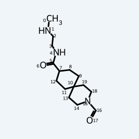 CNCCNC(=O)C1CCC2(CC1)CCN(C=O)CC2